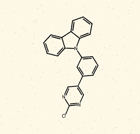 Clc1ncc(-c2cccc(-n3c4ccccc4c4ccccc43)c2)cn1